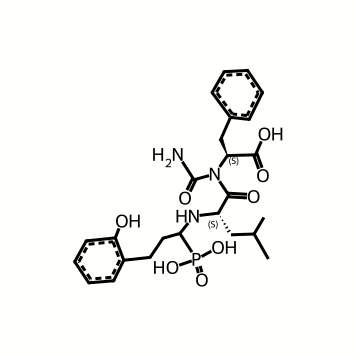 CC(C)C[C@H](NC(CCc1ccccc1O)P(=O)(O)O)C(=O)N(C(N)=O)[C@@H](Cc1ccccc1)C(=O)O